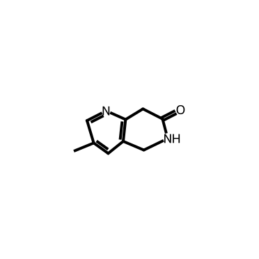 Cc1cnc2c(c1)CNC(=O)C2